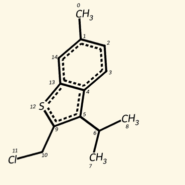 Cc1ccc2c(C(C)C)c(CCl)sc2c1